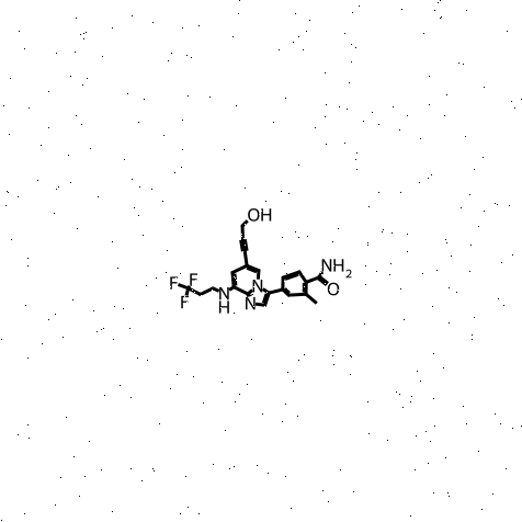 Cc1cc(-c2cnc3c(NCCC(F)(F)F)cc(C#CCO)cn23)ccc1C(N)=O